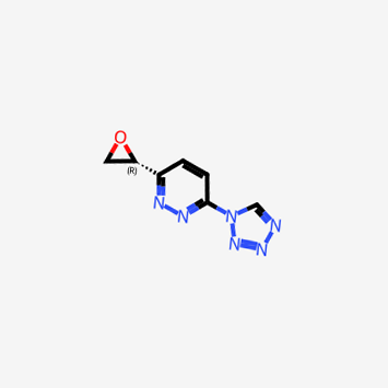 c1cc(-n2cnnn2)nnc1[C@@H]1CO1